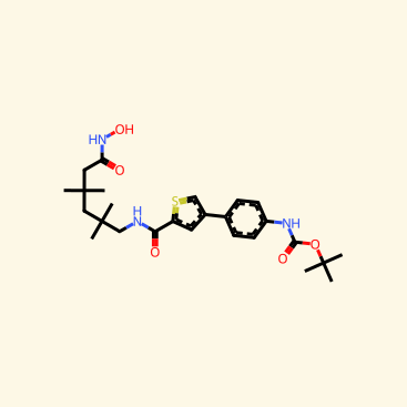 CC(C)(CNC(=O)c1cc(-c2ccc(NC(=O)OC(C)(C)C)cc2)cs1)CC(C)(C)CC(=O)NO